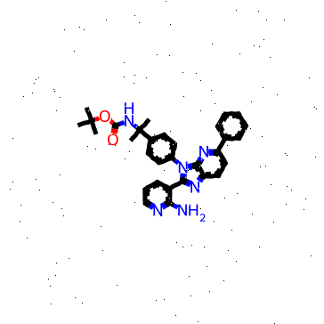 CC(C)(C)OC(=O)NC(C)(C)c1ccc(-n2c(-c3cccnc3N)nc3ccc(-c4ccccc4)nc32)cc1